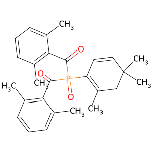 CC1=C(P(=O)(C(=O)c2c(C)cccc2C)C(=O)c2c(C)cccc2C)C=CC(C)(C)C1